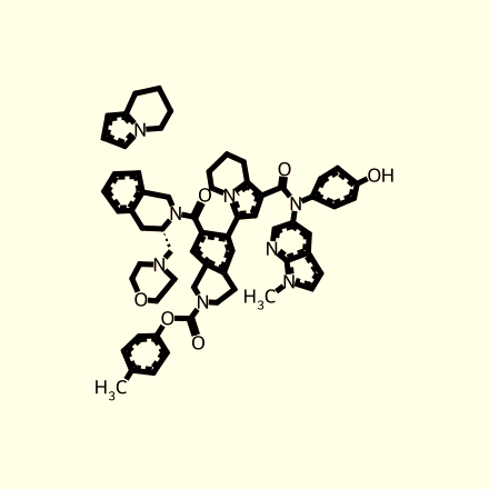 Cc1ccc(OC(=O)N2CCc3cc(-c4cc(C(=O)N(c5ccc(O)cc5)c5cnc6c(ccn6C)c5)c5n4CCCC5)c(C(=O)N4Cc5ccccc5C[C@H]4CN4CCOCC4)cc3C2)cc1.c1cc2n(c1)CCCC2